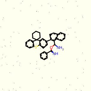 N=C(OC(N)c1c(-c2ccc3c(c2)C2(CCCCC2)c2ccccc2S3)ccc2ccccc12)c1ccccc1